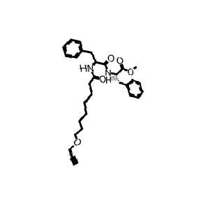 C#CCOCCCCCCCC(=O)NC(Cc1ccccc1)C(=O)N[C@@H](Cc1ccccc1)C(=O)OC